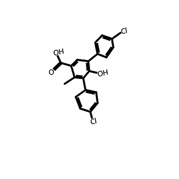 Cc1c(C(=O)O)cc(-c2ccc(Cl)cc2)c(O)c1-c1ccc(Cl)cc1